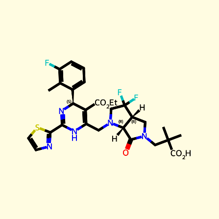 CCOC(=O)C1=C(CN2CC(F)(F)[C@@H]3CN(CC(C)(C)C(=O)O)C(=O)[C@@H]32)NC(c2nccs2)=N[C@H]1c1cccc(F)c1C